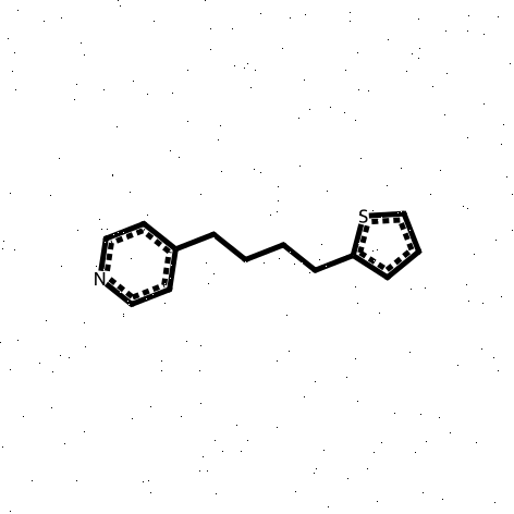 c1csc(CCCCc2ccncc2)c1